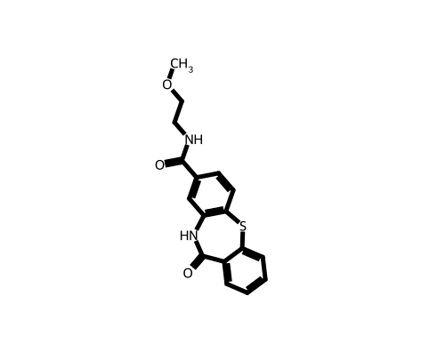 COCCNC(=O)c1ccc2c(c1)NC(=O)c1ccccc1S2